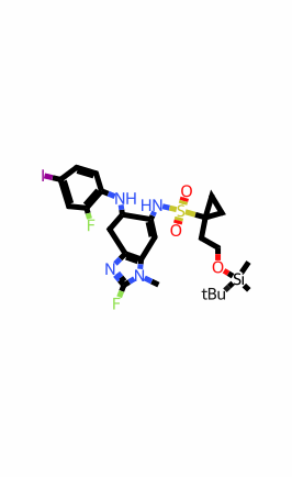 Cn1c(F)nc2c1C=C(NS(=O)(=O)C1(CCO[Si](C)(C)C(C)(C)C)CC1)C(Nc1ccc(I)cc1F)C2